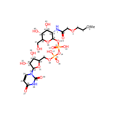 COCCOCC(=O)N[C@@H]1C(OP(=O)(O)OP(=O)(O)OCC2OC(n3ccc(=O)[nH]c3=O)[C@H](O)[C@@H]2O)OC(CO)[C@H](O)[C@@H]1O